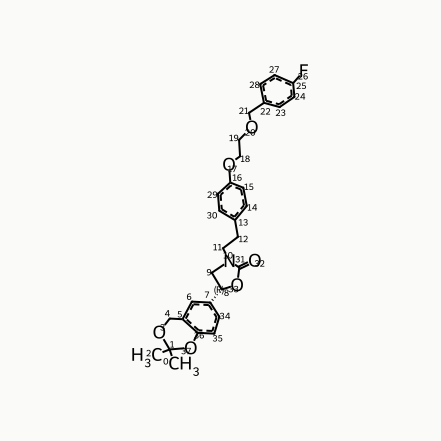 CC1(C)OCc2cc([C@@H]3CN(CCc4ccc(OCCOCc5ccc(F)cc5)cc4)C(=O)O3)ccc2O1